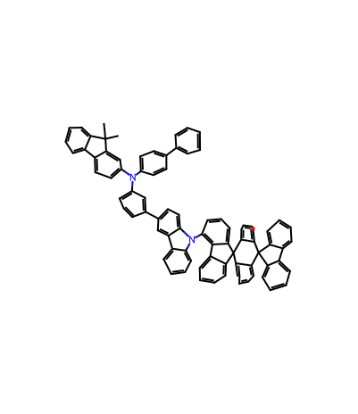 CC1(C)c2ccccc2-c2ccc(N(c3ccc(-c4ccccc4)cc3)c3cccc(-c4ccc5c(c4)c4ccccc4n5-c4cccc5c4-c4ccccc4C54c5ccccc5C5(c6ccccc6-c6ccccc65)c5ccccc54)c3)cc21